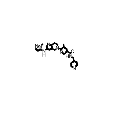 Cc1cc(C(=O)NCc2ccncc2)cnc1N1CCc2ncc(Nc3ccnn3C)cc2C1